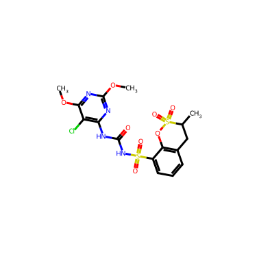 COc1nc(NC(=O)NS(=O)(=O)c2cccc3c2OS(=O)(=O)C(C)C3)c(Cl)c(OC)n1